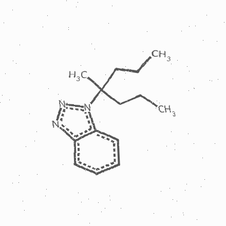 CCCC(C)(CCC)n1nnc2ccccc21